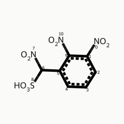 O=[N+]([O-])c1cccc(C([N+](=O)[O-])S(=O)(=O)O)c1[N+](=O)[O-]